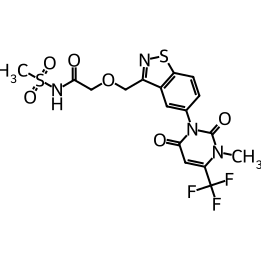 Cn1c(C(F)(F)F)cc(=O)n(-c2ccc3snc(COCC(=O)NS(C)(=O)=O)c3c2)c1=O